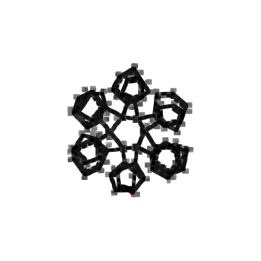 C1=CCC([Si]2(c3ccccc3)[Si](C3=CC=CC3)(c3ccccc3)[Si](C3=CC=CC3)(c3ccccc3)[Si](C3=CC=CC3)(c3ccccc3)[Si](C3=CC=CC3)(c3ccccc3)[Si]2(C2=CC=CC2)c2ccccc2)=C1